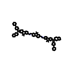 CC1(C)c2cc(/C=C/c3ccc4c(c3)C(C)(C)c3cc(N(c5ccc(-c6ccccc6)cc5)c5ccc6ccccc6c5)ccc3-4)ccc2-c2ccc(/C=C/c3ccc4c(c3)C(C)(C)c3cc(N(c5ccc(-c6ccccc6)cc5)c5ccc6ccccc6c5)ccc3-4)cc21